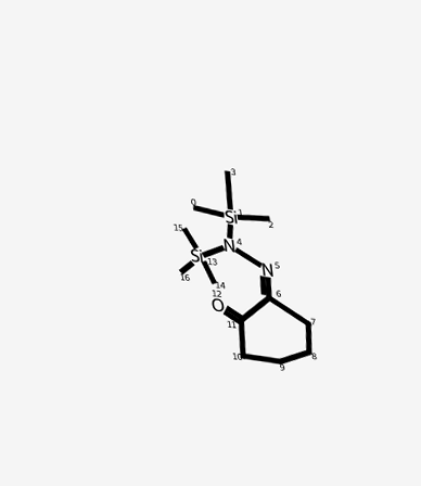 C[Si](C)(C)N(/N=C1/CCCCC1=O)[Si](C)(C)C